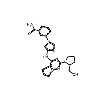 NC(=O)c1cccc(-n2cnc(Nc3nc(N4CCC[C@H]4CO)nn4cccc34)c2)c1